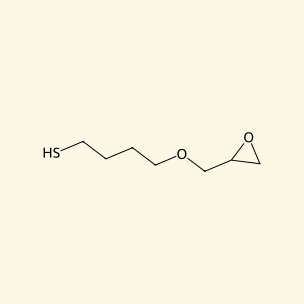 SCCCCOCC1CO1